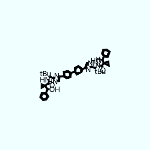 CC(C)(C)C(NC(=O)C1(C(O)c2ccccc2)CC1)c1nc(-c2ccc(-c3ccc(-c4c[nH]c(C(NC(=O)C5(C(O)c6ccccc6)CC5)C(C)(C)C)n4)cc3)cc2)c[nH]1